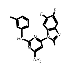 Cc1cccc(Nc2nc(N)cc(-n3c(C)nc4cc(F)c(F)cc43)n2)c1